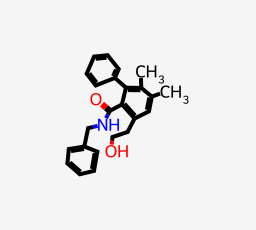 Cc1cc(CCO)c(C(=O)NCc2ccccc2)c(-c2ccccc2)c1C